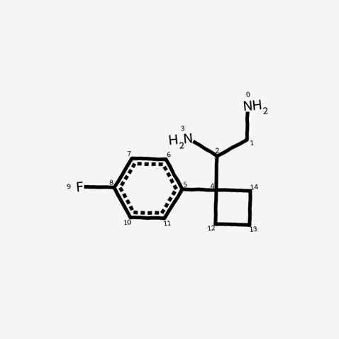 NCC(N)C1(c2ccc(F)cc2)CCC1